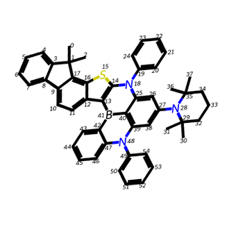 CC1(C)c2ccccc2-c2ccc3c4c(sc3c21)N(c1ccccc1)c1cc(N2C(C)(C)CCCC2(C)C)cc2c1B4c1ccccc1N2c1ccccc1